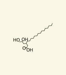 CCCCCCCCCCCCCCCC(CC(=O)O)CC(O)CO